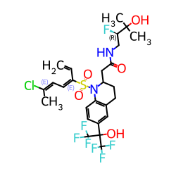 C=C/C(=C\C=C(/C)Cl)S(=O)(=O)N1c2ccc(C(O)(C(F)(F)F)C(F)(F)F)cc2CCC1CC(=O)NC[C@@H](F)C(C)(C)O